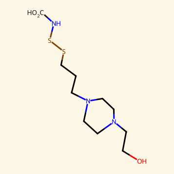 O=C(O)NSSCCCN1CCN(CCO)CC1